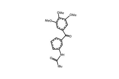 COc1cc(C(=O)c2cccc(NC(=O)C(C)(C)C)c2)cc(OC)c1OC